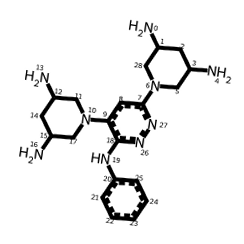 NC1CC(N)CN(c2cc(N3CC(N)CC(N)C3)c(Nc3ccccc3)nn2)C1